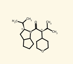 CC(C)[C@H](C(=O)N1C2CCCC2C[C@H]1C(C)C)C1CCOCC1